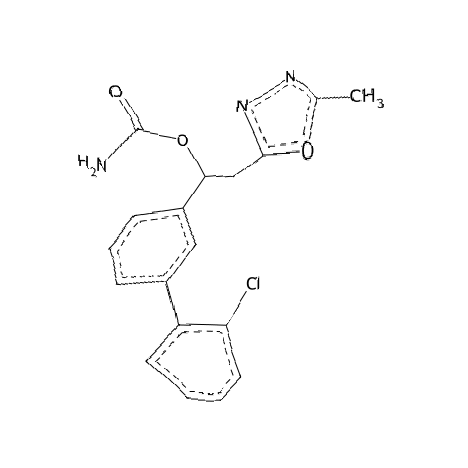 Cc1nnc(CC(OC(N)=O)c2cccc(-c3ccccc3Cl)c2)o1